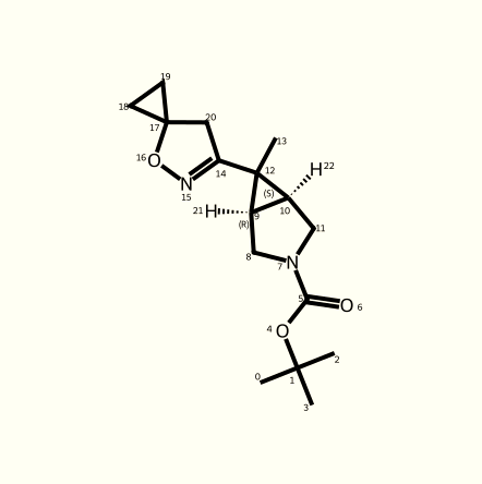 CC(C)(C)OC(=O)N1C[C@@H]2[C@H](C1)C2(C)C1=NOC2(CC2)C1